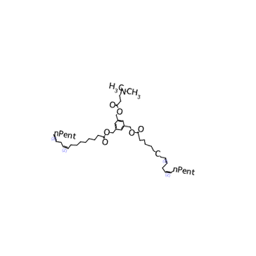 CCCCC/C=C\C/C=C\CCCCCCCC(=O)OCc1cc(COC(=O)CCCCCCC/C=C\C/C=C\CCCCC)cc(COC(=O)CCN(C)C)c1